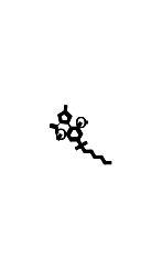 C=C(C)[C@@H]1CC(C)=C[C@H]1c1c(OC)cc(C(C)(C)CCCCCC)cc1OC